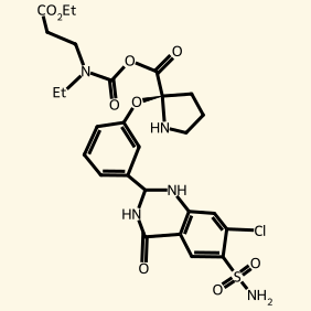 CCOC(=O)CCN(CC)C(=O)OC(=O)[C@]1(Oc2cccc(C3NC(=O)c4cc(S(N)(=O)=O)c(Cl)cc4N3)c2)CCCN1